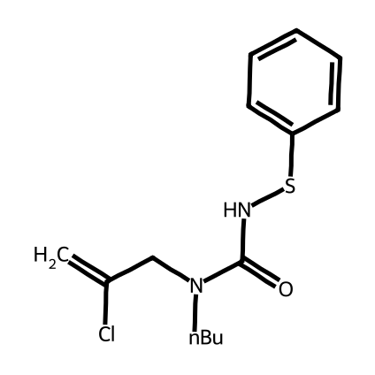 C=C(Cl)CN(CCCC)C(=O)NSc1ccccc1